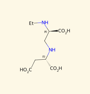 CCN[C@H](CN[C@@H](CC(=O)O)C(=O)O)C(=O)O